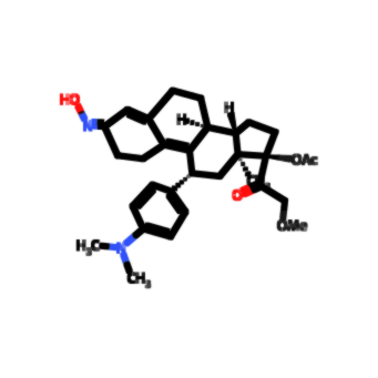 COCC(=O)[C@@]1(OC(C)=O)CC[C@H]2[C@@H]3CCC4=C/C(=N\O)CCC4=C3[C@@H](c3ccc(N(C)C)cc3)C[C@@]21C